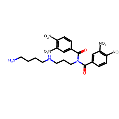 NCCCCNCCCN(C(=O)c1ccc([N+](=O)[O-])c([N+](=O)[O-])c1)C(=O)c1ccc([N+](=O)[O-])c([N+](=O)[O-])c1